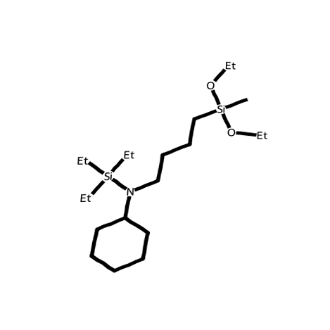 CCO[Si](C)(CCCCN(C1CCCCC1)[Si](CC)(CC)CC)OCC